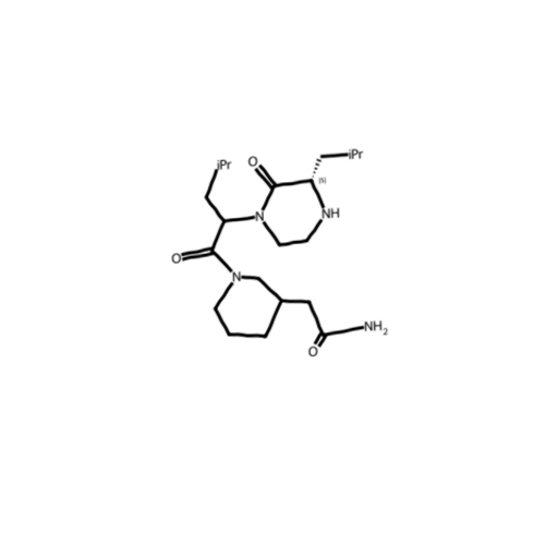 CC(C)CC(C(=O)N1CCCC(CC(N)=O)C1)N1CCN[C@@H](CC(C)C)C1=O